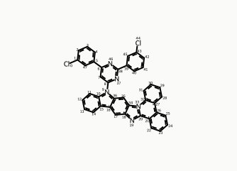 Clc1cccc(-c2cc(-n3c4ccccc4c4cc5nc6c7ccccc7c7ccccc7n6c5cc43)nc(-c3cccc(Cl)c3)n2)c1